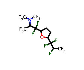 FC(C(F)(F)F)C(F)(F)C1CCC(C(F)(F)C(N(C(F)(F)F)C(F)(F)F)C(F)(F)F)O1